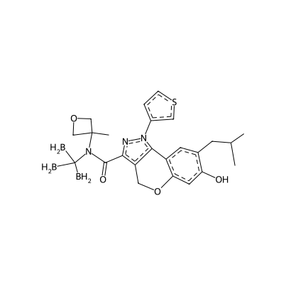 BC(B)(B)N(C(=O)c1nn(-c2ccsc2)c2c1COc1cc(O)c(CC(C)C)cc1-2)C1(C)COC1